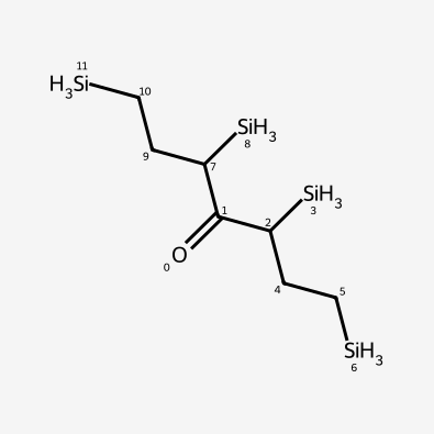 O=C(C([SiH3])CC[SiH3])C([SiH3])CC[SiH3]